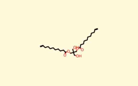 C=CCCCCCCCCC(=O)OCC(CO)(CO)COC(=O)CCCCCCCCC=C